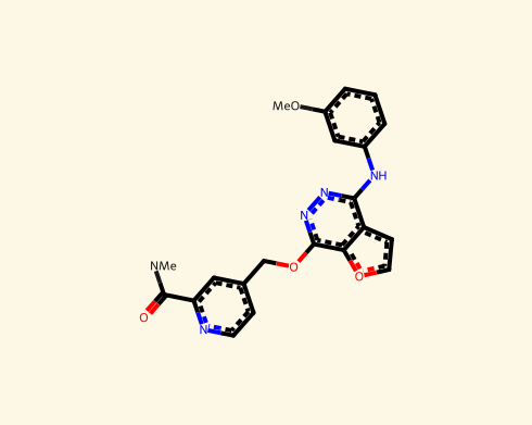 CNC(=O)c1cc(COc2nnc(Nc3cccc(OC)c3)c3ccoc23)ccn1